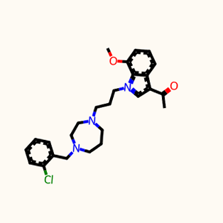 COc1cccc2c(C(C)=O)cn(CCCN3CCCN(Cc4ccccc4Cl)CC3)c12